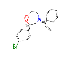 C=C[C@@]1(N2CCO[C@H](c3ccc(Br)cc3)C2)C=CC=CC1